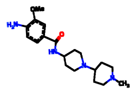 COc1cc(C(=O)NC2CCN(C3CCN(C)CC3)CC2)ccc1N